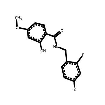 COc1ccc(C(=O)NCc2ccc(Br)cc2F)c(O)c1